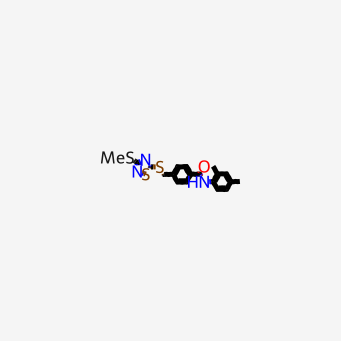 CSc1nsc(SCc2ccc(C(=O)Nc3ccc(C)cc3C)cc2)n1